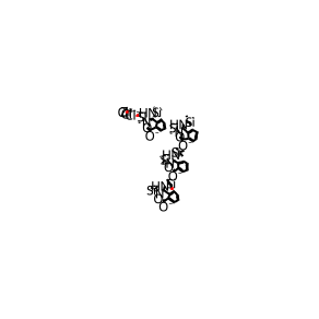 C[Si](C)(C)N=C(N[Si](C)(C)C)c1ccccc1C(=O)[O-].C[Si](C)(C)N=C(N[Si](C)(C)C)c1ccccc1C(=O)[O-].C[Si](C)(C)N=C(N[Si](C)(C)C)c1ccccc1C(=O)[O-].C[Si](C)(C)N=C(N[Si](C)(C)C)c1ccccc1C(=O)[O-].[Cl-].[Cl-].[Cl-].[Zr]